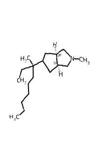 CCCCCCC(C)(CC)C1C[C@@H]2CN(C)C[C@@H]2C1